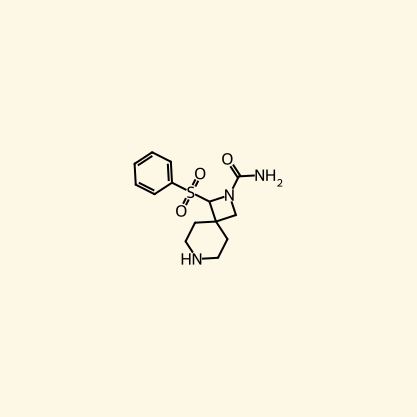 NC(=O)N1CC2(CCNCC2)C1S(=O)(=O)c1ccccc1